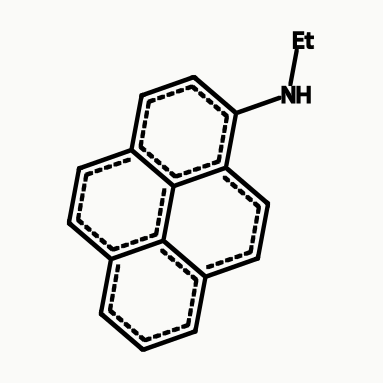 CCNc1ccc2ccc3cccc4ccc1c2c34